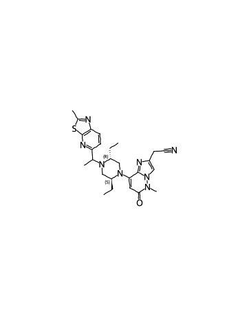 CC[C@H]1CN(C(C)c2ccc3nc(C)sc3n2)[C@H](CC)CN1c1cc(=O)n(C)n2cc(CC#N)nc12